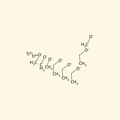 CC[O-].CC[O-].CC[O-].CC[O-].C[O-].C[O-].C[O-].C[O-].[Ti+4].[Ti+4]